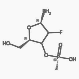 B[C@@H]1O[C@H](CO)C(O[P@@](C)(=O)O)C1F